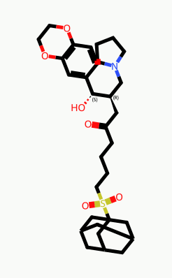 O=C(CCCCS(=O)(=O)C12CC3CC(CC(C3)C1)C2)C[C@H](CN1CCCC1)[C@H](O)c1ccc2c(c1)OCCO2